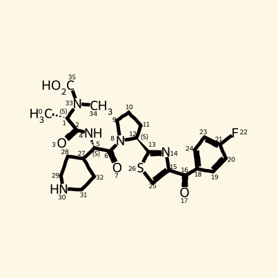 C[C@@H](C(=O)N[C@H](C(=O)N1CCC[C@H]1c1nc(C(=O)c2ccc(F)cc2)cs1)C1CCNCC1)N(C)C(=O)O